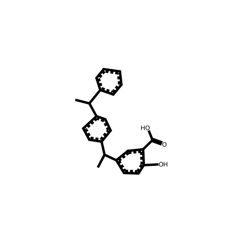 CC(c1ccccc1)c1ccc(C(C)c2ccc(O)c(C(=O)O)c2)cc1